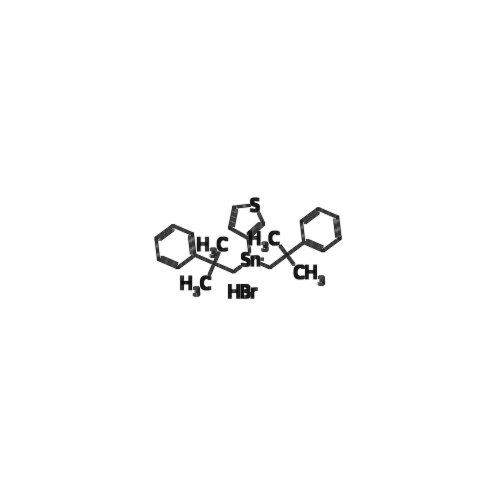 Br.CC(C)([CH2][Sn]([CH2]C(C)(C)c1ccccc1)[c]1ccsc1)c1ccccc1